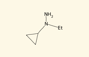 CCN(N)C1CC1